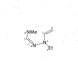 C=CN(CC)/N=C\NC